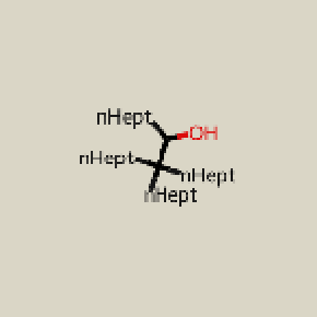 CCCCCCCC(O)C(CCCCCCC)(CCCCCCC)CCCCCCC